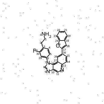 NCCc1ccc(-n2cnc3cnc4ccc(-c5cc6ccccc6o5)cc4c32)cc1F